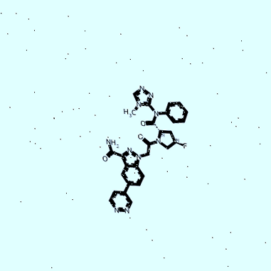 Cn1cnnc1N(C(=O)[C@@H]1C[C@@H](F)CN1C(=O)Cn1nc(C(N)=O)c2cc(-c3ccnnc3)ccc21)c1ccccc1